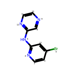 Brc1ccnc(Nc2cnccn2)c1